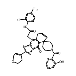 O=C(Cn1c2c(c(=O)n3nc(C4=CCOCC4)nc13)C1(C=CC2)CCN(C(=O)c2ncccc2O)CC1)Nc1ccc(C(F)(F)F)cc1Cl